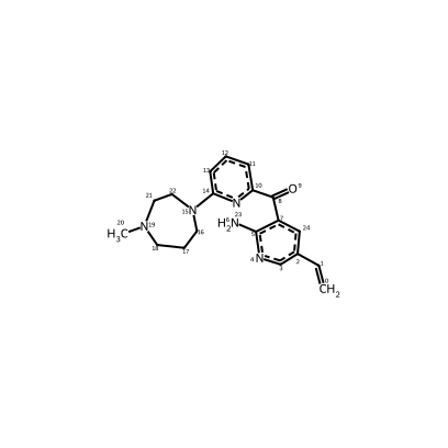 C=Cc1cnc(N)c(C(=O)c2cccc(N3CCCN(C)CC3)n2)c1